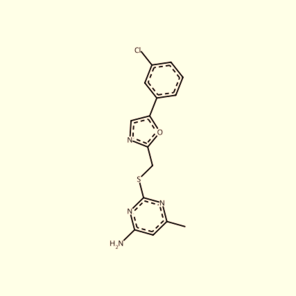 Cc1cc(N)nc(SCc2ncc(-c3cccc(Cl)c3)o2)n1